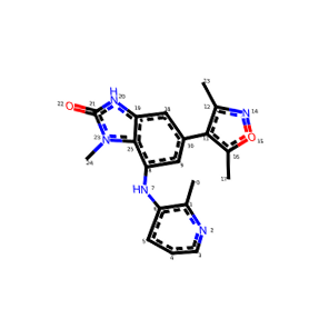 Cc1ncccc1Nc1cc(-c2c(C)noc2C)cc2[nH]c(=O)n(C)c12